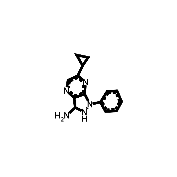 NC1NN(c2ccccc2)c2nc(C3CC3)cnc21